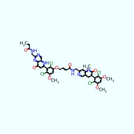 C=CC(=O)NCc1ncc2[nH]c(-c3c(Cl)c(OC)cc(OC/C=C/C(=O)NCc4cc5c(cn4)cc(-c4c(Cl)c(OC)cc(OC)c4Cl)c(=O)n5C)c3Cl)cc(=O)c2n1